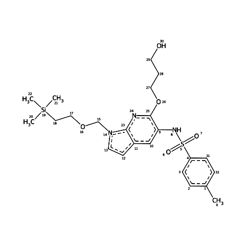 Cc1ccc(S(=O)(=O)Nc2cc3ccn(COCC[Si](C)(C)C)c3nc2OCCCO)cc1